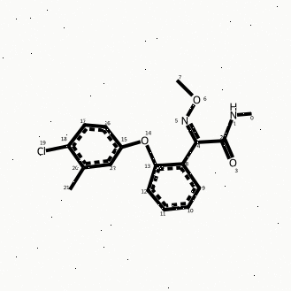 CNC(=O)C(=NOC)c1ccccc1Oc1ccc(Cl)c(C)c1